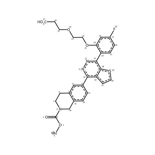 CC(C)(C)OC(=O)N1CCc2cc(-c3nnc(-c4ccc(F)cc4OCCOCCC(=O)O)c4sccc34)ccc2C1